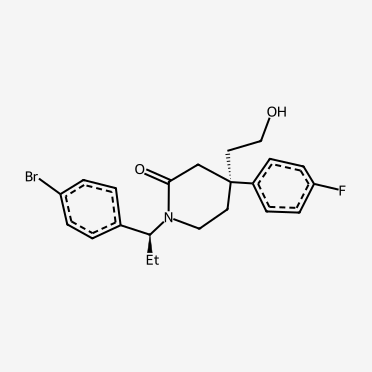 CC[C@@H](c1ccc(Br)cc1)N1CC[C@](CCO)(c2ccc(F)cc2)CC1=O